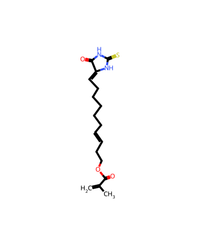 C=C(C)C(=O)OCC/C=C/CCCCC/C=C1\NC(=S)NC1=O